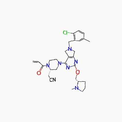 C=CC(=O)N1CCN(c2nc(OC[C@@H]3CCCN3C)nc3c2CN(Cc2cc(C)ccc2Cl)C3)C[C@@H]1CC#N